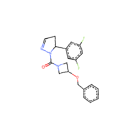 O=C(N1CC(OCc2ccccc2)C1)N1N=CCC1c1cc(F)cc(F)c1